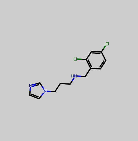 Clc1ccc(CNCCCn2ccnc2)c(Cl)c1